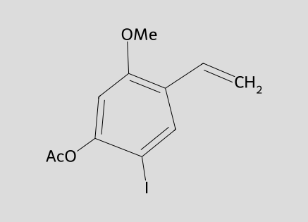 C=Cc1cc(I)c(OC(C)=O)cc1OC